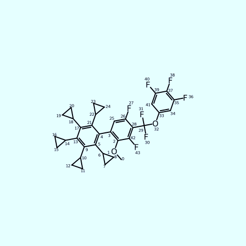 COc1c(-c2c(C3CC3)c(C3CC3)c(C3CC3)c(C3CC3)c2C2CC2)cc(F)c(C(F)(F)Oc2cc(F)c(F)c(F)c2)c1F